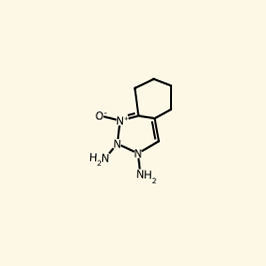 NN1C=C2CCCCC2=[N+]([O-])N1N